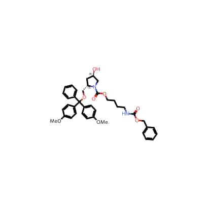 COc1ccc(C(OC[C@@H]2C[C@@H](O)CN2C(=O)OCCCCNC(=O)OCc2ccccc2)(c2ccccc2)c2ccc(OC)cc2)cc1